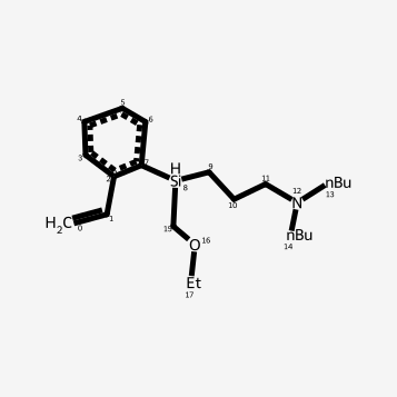 C=Cc1ccccc1[SiH](CCCN(CCCC)CCCC)COCC